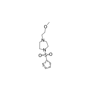 COCCN1CCN(S(=O)(=O)c2cccs2)CC1